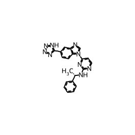 C[C@H](Nc1nccc(-n2cnc3cc(-c4nnn[nH]4)ccc32)n1)c1ccccc1